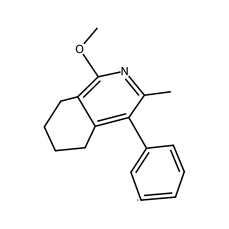 COc1nc(C)c(-c2c[c]ccc2)c2c1CCCC2